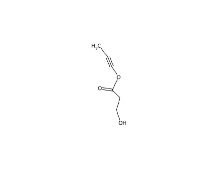 CC#COC(=O)CCO